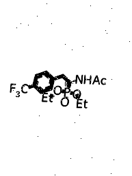 CCOP(=O)(OCC)[C@H](Cc1ccc(C(F)(F)F)cc1)NC(C)=O